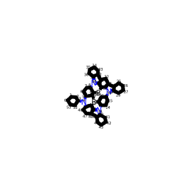 c1ccc(N2c3ccc4c5c3B3c6c(ccc7c6B5c5c6c(cc8c9ccccc9n-7c58)c5ccccc5n6-4)-n4c5ccccc5c5ccc2c3c54)cc1